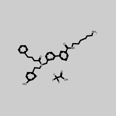 NCCCCCCNC(=O)c1cccc(-c2cccc(CN(CCc3ccc(O)cc3)C(=O)CCCc3ccccc3)c2)c1.O=C(O)C(F)(F)F